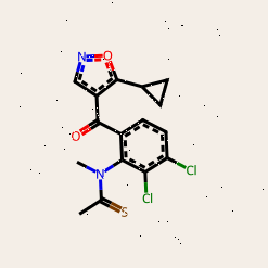 CC(=S)N(C)c1c(C(=O)c2cnoc2C2CC2)ccc(Cl)c1Cl